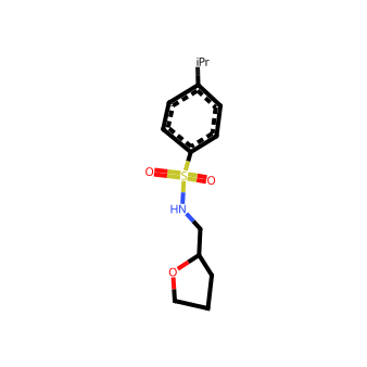 CC(C)c1ccc(S(=O)(=O)NCC2CCCO2)cc1